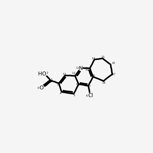 O=C(O)c1ccc2c(Cl)c3c(nc2c1)CCCCC3